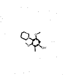 COc1cc(O)c(C)c(OC)c1N1CCCCC1